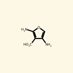 Nc1coc(N)c1C(=O)O